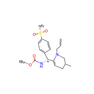 C=CCN1CC(C)CC=C1[C@H](NC(=O)OC(C)(C)C)c1ccc(S(=O)(=O)CCC)cc1